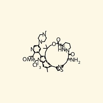 CO[C@@H](C)c1ncc(N2CCN(C)CC2)cc1-c1c2c3cc(c(C)cc3n1CC(F)(F)F)-c1csc(n1)C[C@H](N)C(=O)N1CCC[C@H](N1)C(=O)OCC(C)(C)C2